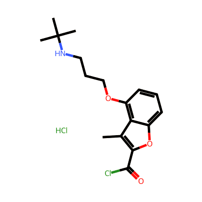 Cc1c(C(=O)Cl)oc2cccc(OCCCNC(C)(C)C)c12.Cl